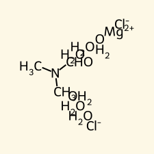 CN(C)C=O.O.O.O.O.O.O.[Cl-].[Cl-].[Mg+2]